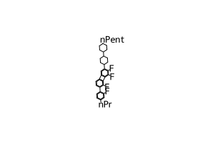 CCCCCC1CCC(C2CCC(c3cc4c(c(F)c3F)-c3c-4ccc(-c4ccc(CCC)cc4F)c3F)CC2)CC1